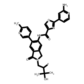 Cc1ccc(-c2cc3c(cc2NC(=O)c2coc(-c4ccnc(N)c4)n2)CN(CC(F)C(C)(C)O)C3=O)cn1